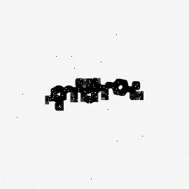 O=C(NCc1ccc(F)c(Cl)c1)c1ncnc2c(NCC3CCC(C(=O)O)CC3)n[nH]c12